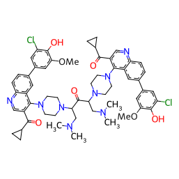 COc1cc(-c2ccc3ncc(C(=O)C4CC4)c(N4CCN(C(CN(C)C)C(=O)C(CN(C)C)N5CCN(c6c(C(=O)C7CC7)cnc7ccc(-c8cc(Cl)c(O)c(OC)c8)cc67)CC5)CC4)c3c2)cc(Cl)c1O